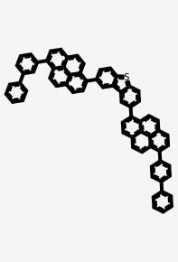 c1ccc(-c2ccc(-c3ccc4ccc5c(-c6ccc7sc8ccc(-c9ccc%10ccc%11c(-c%12cccc(-c%13ccccc%13)c%12)ccc%12ccc9c%10c%12%11)cc8c7c6)ccc6ccc3c4c65)cc2)cc1